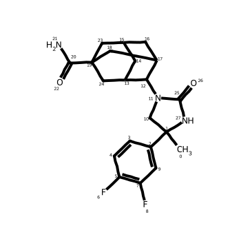 CC1(c2ccc(F)c(F)c2)CN(C2C3CC4CC2CC(C(N)=O)(C4)C3)C(=O)N1